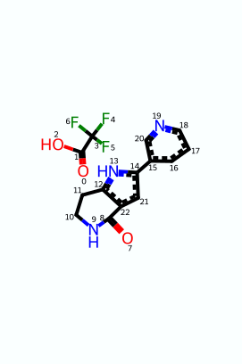 O=C(O)C(F)(F)F.O=C1NCCc2[nH]c(-c3cccnc3)cc21